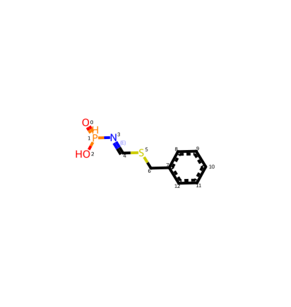 O=[PH](O)/N=C/SCc1ccccc1